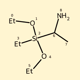 CCO[Si](CC)(OCC)C(C)N